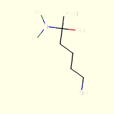 NCCCCC(O)(C(=O)O)N(Cl)Br